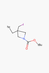 [2H]CC1(CI)CN(C(=O)OC(C)(C)C)C1